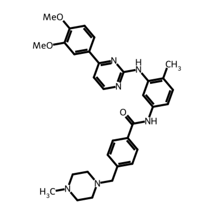 COc1ccc(-c2ccnc(Nc3cc(NC(=O)c4ccc(CN5CCN(C)CC5)cc4)ccc3C)n2)cc1OC